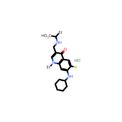 CCC(NCc1cn(CC)c2cc(NC3CCCCC3)c(F)cc2c1=O)C(=O)O.Cl